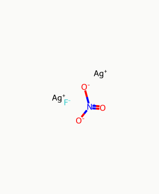 O=[N+]([O-])[O-].[Ag+].[Ag+].[F-]